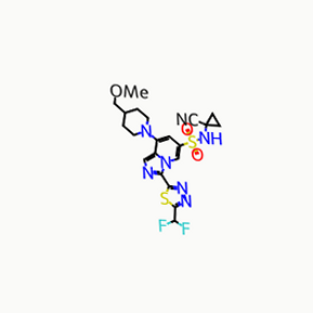 COCC1CCN(c2cc(S(=O)(=O)NC3(C#N)CC3)cn3c(-c4nnc(C(F)F)s4)ncc23)CC1